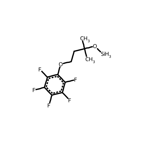 CC(C)(CCOc1c(F)c(F)c(F)c(F)c1F)O[SiH3]